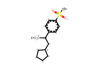 CCCCS(=O)(=O)c1ccc(C(CC2CCCC2)C(=O)OCC)cc1